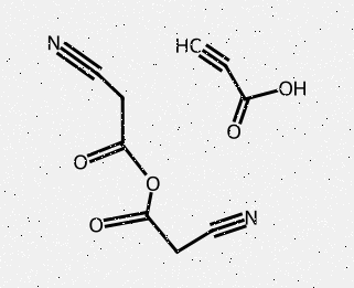 C#CC(=O)O.N#CCC(=O)OC(=O)CC#N